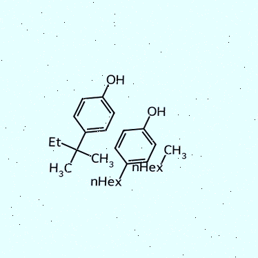 CCC(C)(C)c1ccc(O)cc1.CCCCCCc1ccc(O)cc1.CCC[CH]CCC